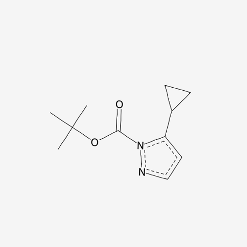 CC(C)(C)OC(=O)n1nccc1C1CC1